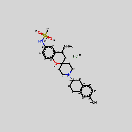 CC(=O)NC1CC2(CCN([C@H]3CCc4cc(C#N)ccc4C3)CC2)Oc2ccc(NS(C)(=O)=O)cc21.Cl